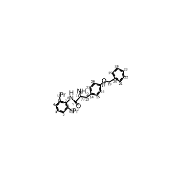 CC(C)c1cccc(C(C)C)c1NC(=O)[C@@H](N)Cc1ccc(OCc2ccccc2)cc1